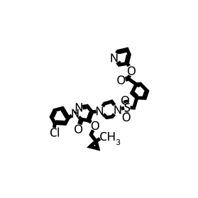 CC1(COc2c(N3CCN(S(=O)(=O)Cc4cccc(C(=O)Oc5cccnc5)c4)CC3)cnn(-c3cccc(Cl)c3)c2=O)CC1